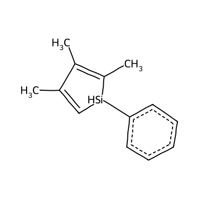 CC1=C[SiH](c2ccccc2)C(C)=C1C